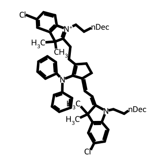 CCCCCCCCCCCCN1/C(=C/C=C2\CCC(CCC3=[N+](CCCCCCCCCCCC)c4ccc(Cl)cc4C3(C)C)=C2N(c2ccccc2)c2ccccc2)C(C)(C)c2cc(Cl)ccc21